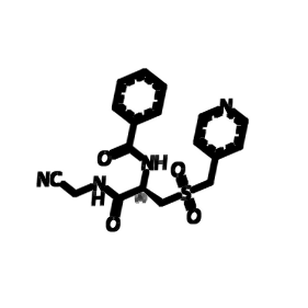 N#CCNC(=O)[C@H](CS(=O)(=O)Cc1ccncc1)NC(=O)c1ccccc1